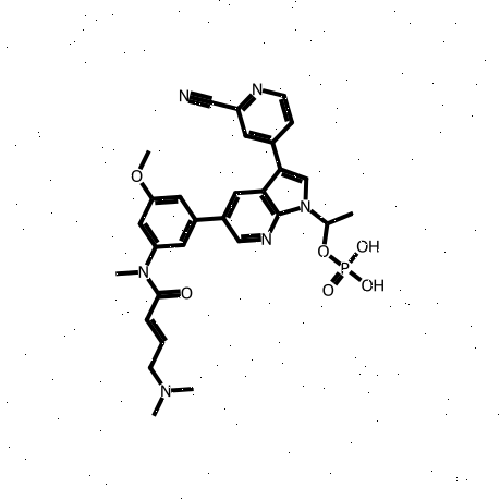 COc1cc(-c2cnc3c(c2)c(-c2ccnc(C#N)c2)cn3C(C)OP(=O)(O)O)cc(N(C)C(=O)C=CCN(C)C)c1